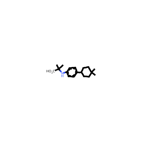 CC1(C)CCC(c2ccc(NC(C)(C)C(=O)O)cc2)CC1